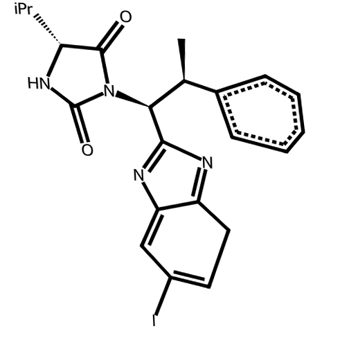 CC(C)[C@H]1NC(=O)N([C@H](C2=NC3=CC(I)=CCC3=N2)[C@@H](C)c2ccccc2)C1=O